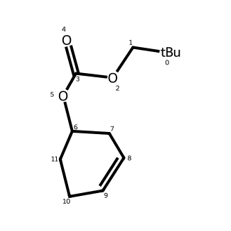 CC(C)(C)COC(=O)OC1CC=CCC1